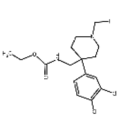 CCOC(=O)NCC1(c2ccc(Cl)c(Cl)c2)CCN(CI)CC1